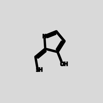 OC1=CC=N/C1=C/S